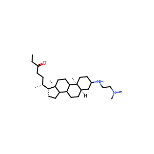 CCC(=O)CC[C@@H](C)[C@H]1CCC2C3CC[C@@H]4CC(NCCN(C)C)CC[C@]4(C)C3CC[C@@]21C